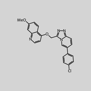 COc1ccc2c(OCc3nnc4ccc(-c5ccc(Cl)cc5)cn34)ccnc2c1